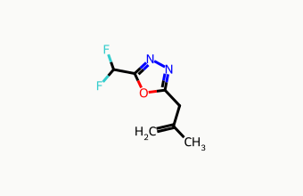 C=C(C)Cc1nnc(C(F)F)o1